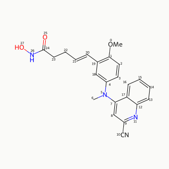 COc1ccc(N(C)c2cc(C#N)nc3ccccc23)cc1C=CCCC(=O)NO